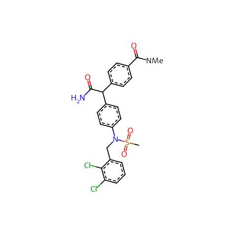 CNC(=O)c1ccc(C(C(N)=O)c2ccc(N(Cc3cccc(Cl)c3Cl)S(C)(=O)=O)cc2)cc1